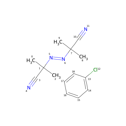 CC(C)(C#N)N=NC(C)(C)C#N.Clc1ccccc1